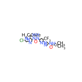 CO[C@@H](C)c1c(NC(=O)Nc2cnc(-n3cc(NC(=O)C4CC(C)(C)C4)cn3)c(C(F)(F)F)c2)cnc2cc(Cl)nn12